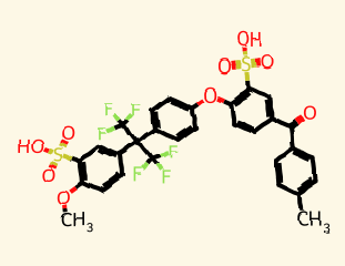 COc1ccc(C(c2ccc(Oc3ccc(C(=O)c4ccc(C)cc4)cc3S(=O)(=O)O)cc2)(C(F)(F)F)C(F)(F)F)cc1S(=O)(=O)O